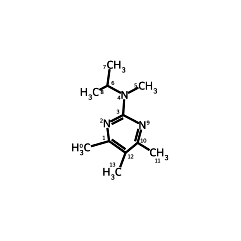 Cc1nc(N(C)C(C)C)nc(C)c1C